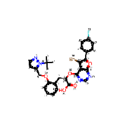 CC(C)(C)n1nccc1COc1ccccc1C[C@@H](Oc1ncnc2oc(-c3ccc(F)cc3)c(Br)c12)C(=O)O